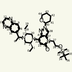 CC[C@H]1CN(C(C)c2ccc3nccnc3c2)[C@H](CC)CN1c1cc(=O)n(CCO[Si](C)(C)C(C)(C)C)c2cn(C3CCCCO3)nc12